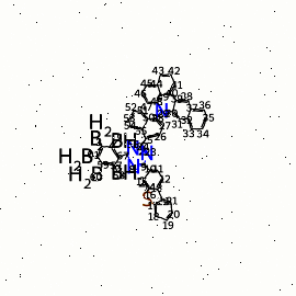 Bc1c(B)c(B)c(-c2nc(-c3ccc4c(c3)sc3ccccc34)nc(-c3ccc(N4c5cc6ccccc6cc5-c5cccc6cccc4c56)c4ccccc34)n2)c(B)c1B